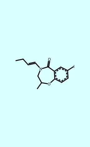 CCC=CN1CC(C)Oc2ccc(I)cc2C1=O